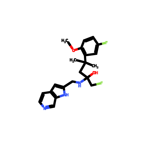 COc1ccc(F)cc1C(C)(C)CC(O)(CF)NCc1cc2ccncc2[nH]1